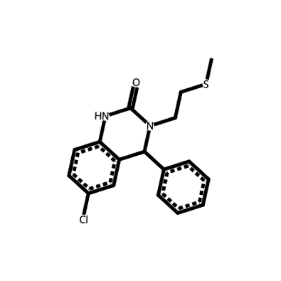 CSCCN1C(=O)Nc2ccc(Cl)cc2C1c1ccccc1